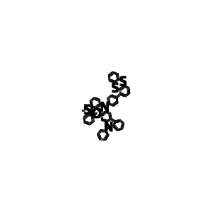 C[Si]1(C)c2ccccc2Oc2c(N(c3ccc(-c4cccc5c4Sc4ccccc4S5)cc3)c3ccc4c(c3)c3ccccc3n4-c3ccccc3)cccc21